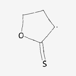 S=C1[CH]CCO1